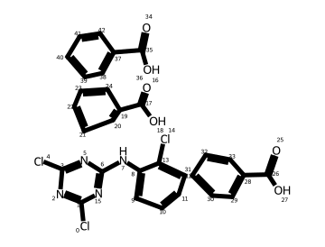 Clc1nc(Cl)nc(Nc2ccccc2Cl)n1.O=C(O)c1ccccc1.O=C(O)c1ccccc1.O=C(O)c1ccccc1